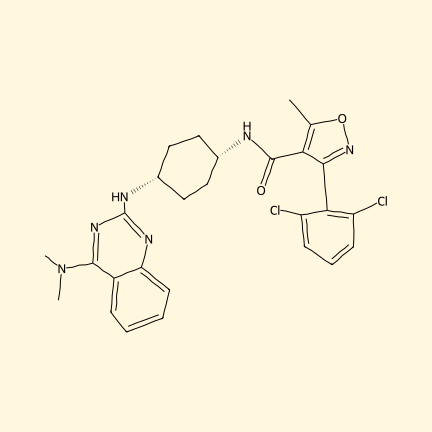 Cc1onc(-c2c(Cl)cccc2Cl)c1C(=O)N[C@H]1CC[C@@H](Nc2nc(N(C)C)c3ccccc3n2)CC1